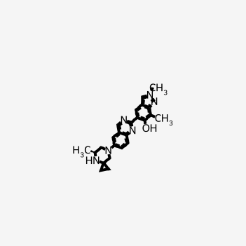 Cc1c(O)c(-c2ncc3cc(N4C[C@H](C)NC5(CC5)C4)ccc3n2)cc2cn(C)nc12